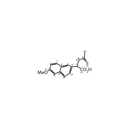 COc1ccc2cc(C(SC(C)=S)C(=O)O)ccc2c1